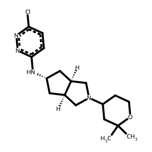 CC1(C)CC(N2C[C@H]3C[C@H](Nc4ccc(Cl)nn4)C[C@H]3C2)CCO1